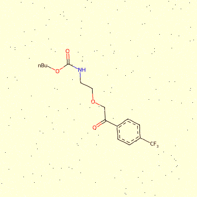 CCCCOC(=O)NCCOCC(=O)c1ccc(C(F)(F)F)cc1